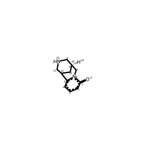 O=c1cccc2n1C[C@@H]1CNCC2C1